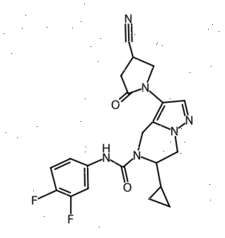 N#CC1CC(=O)N(c2cnn3c2CN(C(=O)Nc2ccc(F)c(F)c2)C(C2CC2)C3)C1